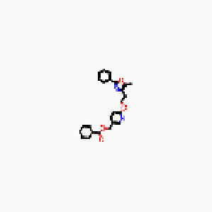 Cc1oc(-c2ccccc2)nc1CCOc1ccc(COC(=O)C2CCCCC2)cn1